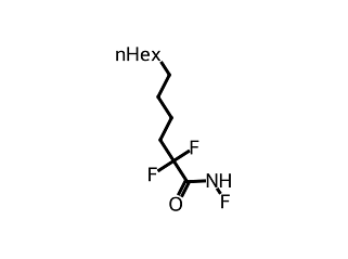 CCCCCCCCCCC(F)(F)C(=O)NF